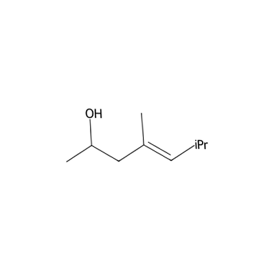 C/C(=C\C(C)C)CC(C)O